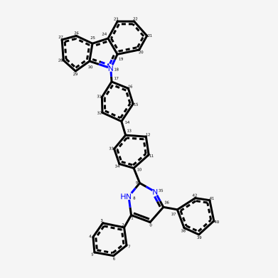 C1=C(c2ccccc2)NC(c2ccc(-c3ccc(-n4c5ccccc5c5ccccc54)cc3)cc2)N=C1c1ccccc1